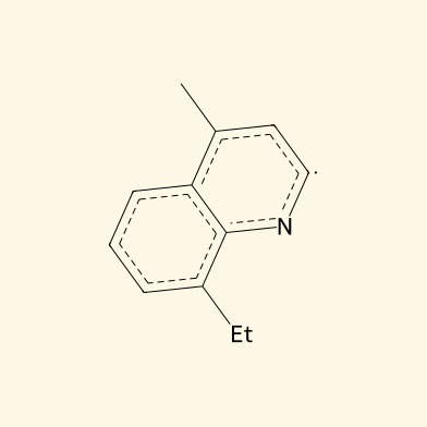 CCc1cccc2c(C)c[c]nc12